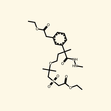 CCOC(=O)Cc1cccc(C(C)(CCOC(C)(C)CS(=O)(=O)CC(=O)OCC)C(=O)NNC)c1